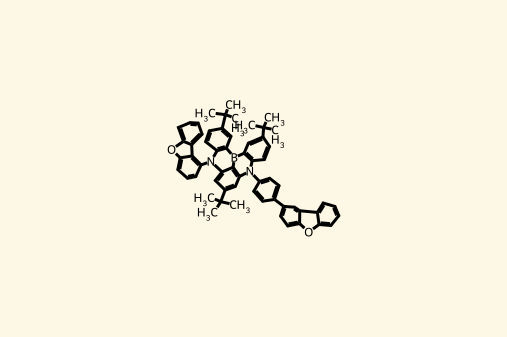 CC(C)(C)c1ccc2c(c1)B1c3cc(C(C)(C)C)ccc3N(c3cccc4oc5ccccc5c34)c3cc(C(C)(C)C)cc(c31)N2c1ccc(-c2ccc3oc4ccccc4c3c2)cc1